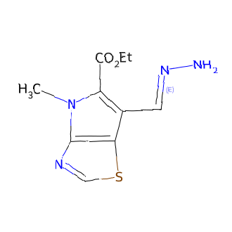 CCOC(=O)c1c(/C=N/N)c2scnc2n1C